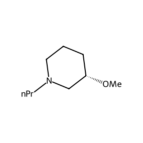 CCCN1CCC[C@H](OC)C1